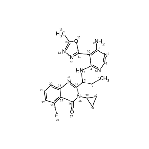 CCC(Nc1ncnc(N)c1-c1nnc(C)o1)c1nc2cccc(F)c2c(=O)n1C1CC1